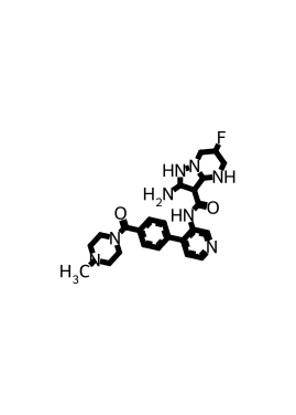 CN1CCN(C(=O)c2ccc(-c3ccncc3NC(=O)C3C(N)NN4CC(F)CNC34)cc2)CC1